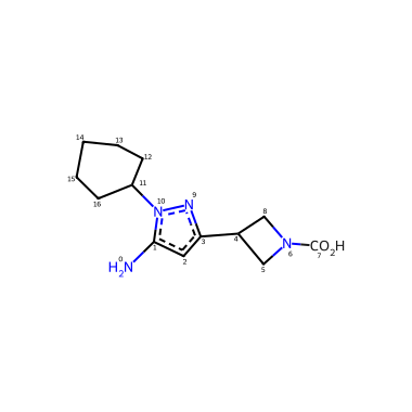 Nc1cc(C2CN(C(=O)O)C2)nn1C1CCCCC1